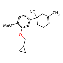 COc1ccc(C2(C#N)CCC=C(C)C2)cc1OCC1CC1